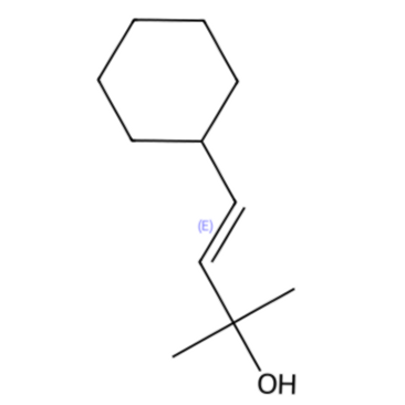 CC(C)(O)/C=C/C1CCCCC1